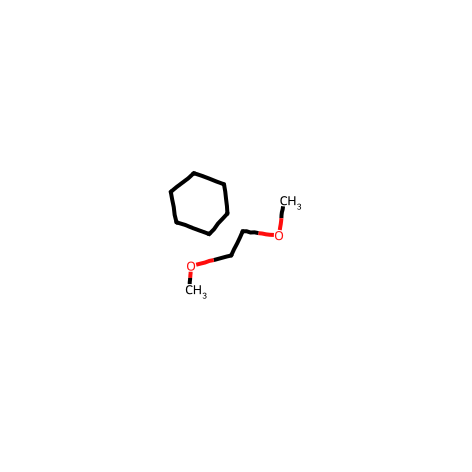 C1CCCCC1.COCCOC